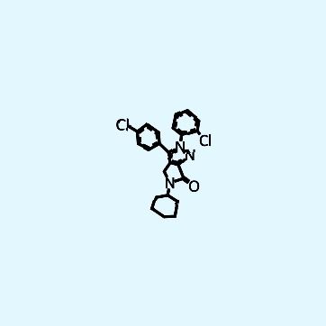 O=C1c2nn(-c3ccccc3Cl)c(-c3ccc(Cl)cc3)c2CN1C1CCCCC1